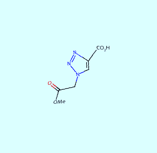 COC(=O)Cn1cc(C(=O)O)nn1